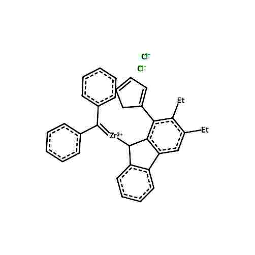 CCc1cc2c(c(C3=CC=CC3)c1CC)[CH]([Zr+2]=[C](c1ccccc1)c1ccccc1)c1ccccc1-2.[Cl-].[Cl-]